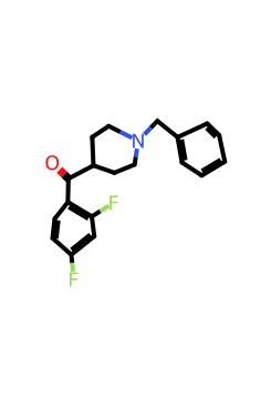 O=C(c1ccc(F)cc1F)C1CCN(Cc2ccccc2)CC1